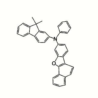 CC1(C)c2ccccc2-c2ccc(N(c3ccccc3)c3ccc4c(c3)oc3c5ccccc5ccc43)cc21